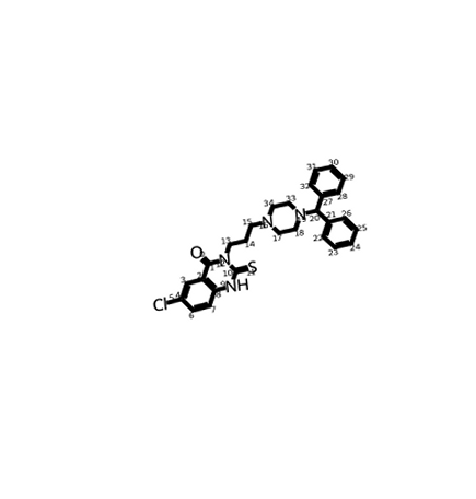 O=c1c2cc(Cl)ccc2[nH]c(=S)n1CCCN1CCN(C(c2ccccc2)c2ccccc2)CC1